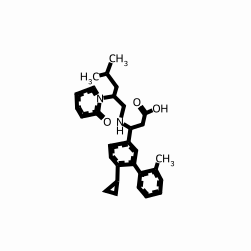 Cc1ccccc1-c1cc(C(CC(=O)O)NCC(CC(C)C)n2ccccc2=O)ccc1C1CC1